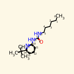 CCCCCCNC(=O)Nc1cccc(C(C)(C)C)n1